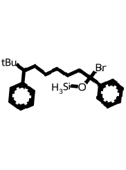 CC(C)(C)C(CCCCCC(Br)(O[SiH3])c1ccccc1)c1ccccc1